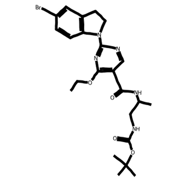 CCOc1nc(N2CCc3cc(Br)ccc32)ncc1C(=O)NC(C)CNC(=O)OC(C)(C)C